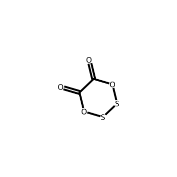 O=C1OSSOC1=O